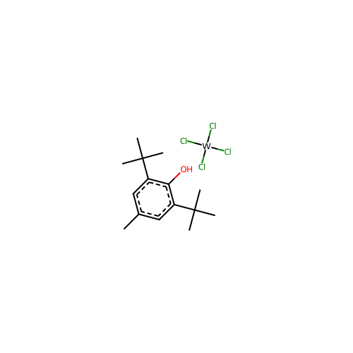 Cc1cc(C(C)(C)C)c(O)c(C(C)(C)C)c1.[Cl][W]([Cl])([Cl])[Cl]